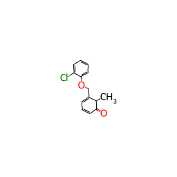 CC1C(=O)C=CC=C1COc1ccccc1Cl